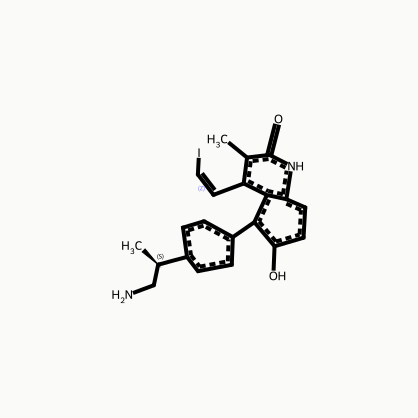 Cc1c(/C=C\I)c2c(-c3ccc([C@H](C)CN)cc3)c(O)ccc2[nH]c1=O